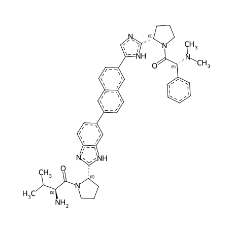 CC(C)[C@H](N)C(=O)N1CCC[C@H]1c1nc2ccc(-c3ccc4cc(-c5cnc([C@@H]6CCCN6C(=O)[C@@H](c6ccccc6)N(C)C)[nH]5)ccc4c3)cc2[nH]1